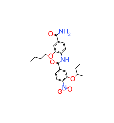 CCCCOc1cc(C(N)=O)ccc1NC(=O)c1ccc([N+](=O)[O-])c(OC(C)CC)c1